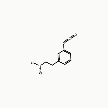 O=C=Nc1cccc(CC[SiH](Cl)Cl)c1